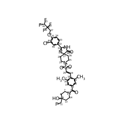 Cc1cc(C(=O)N2CCC(O)(CF)CC2)cc(C)c1C=CS(=O)(=O)N1CCC2(CC1)N=C(c1ccc(OCC(F)(F)C(F)F)c(Cl)c1)NC2=O